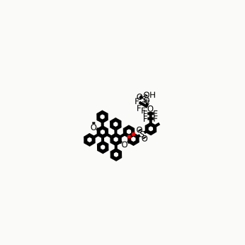 COc1c(-c2ccccc2)cc(-c2cc(-c3ccccc3)c(Oc3ccc(S(=O)(=O)c4ccc(C)c(C(F)(F)C(F)(F)OC(F)(F)C(F)(F)S(=O)(=O)O)c4)cc3)c(-c3ccccc3)c2-c2ccccc2)c(-c2ccccc2)c1-c1ccccc1